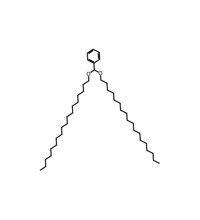 CCCCCCCCCCCCCCCCCCOC(OCCCCCCCCCCCCCCCCCC)c1ccccc1